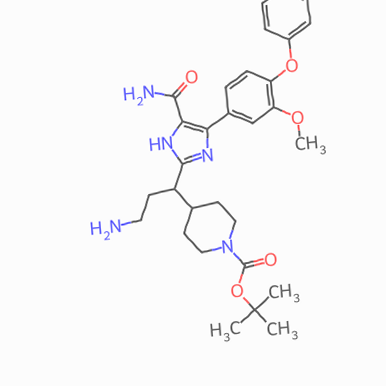 COc1cc(-c2nc(C(CCN)C3CCN(C(=O)OC(C)(C)C)CC3)[nH]c2C(N)=O)ccc1Oc1ccccc1